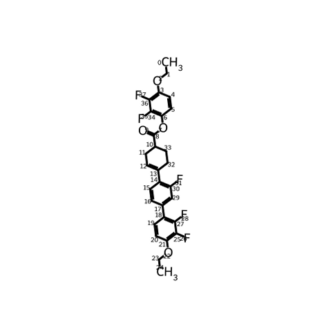 CCOc1ccc(OC(=O)C2CC=C(c3ccc(-c4ccc(OCC)c(F)c4F)cc3F)CC2)c(F)c1F